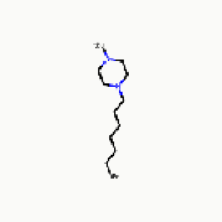 CC(C)CCCCCCN1CCN(C(C)(C)C)CC1